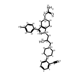 N#Cc1ccccc1N1CCN(CC(O)Cn2nc(-c3ccc(I)cc3)c3c2CCN(OC(N)=O)C3)CC1